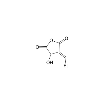 CCC=C1C(=O)OC(=O)C1O